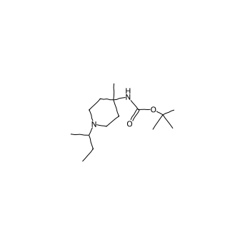 CCC(C)N1CCC(C)(NC(=O)OC(C)(C)C)CC1